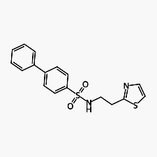 O=S(=O)(NCCc1nccs1)c1ccc(-c2ccccc2)cc1